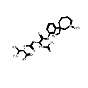 CCC1(c2cccc(OC(=O)[C@H](CC(=O)N[C@H](C(=O)O)C(C)C)NC(C)=O)c2)CCCCN(C)C1